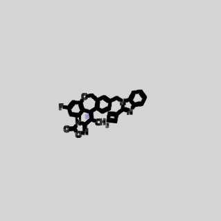 C/C(=C1\c2ccc(Cn3c(C4=CC=C4)nc4ccccc43)cc2COc2cc(F)ccc21)c1noc(=O)[nH]1